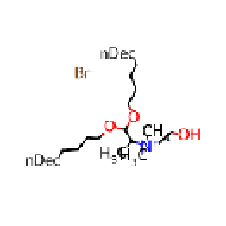 CCCCCCCCCCCCCCOC(OCCCCCCCCCCCCCC)C(C)[N+](C)(C)CCO.[Br-]